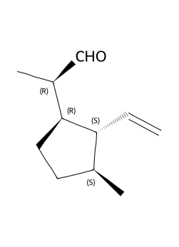 C=C[C@H]1[C@H]([C@@H](C)C=O)CC[C@@H]1C